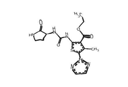 CCOC(=O)c1c(NC(=O)N[C@H]2CCNC2=O)sc(-n2nccn2)c1C